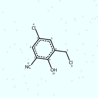 N#Cc1cc(Cl)cc(CCl)c1O